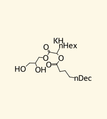 CCCCCCCCCCCCCC(=O)OC(CCCCCC)C(=O)OCC(O)CO.[KH]